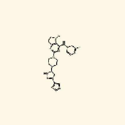 [O-][S+]1CCc2nc(N3CCC(C4CC(c5ccco5)=NN4)CC3)nc(NC3C=CC=C(F)C3)c21